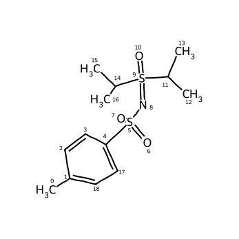 Cc1ccc(S(=O)(=O)N=S(=O)(C(C)C)C(C)C)cc1